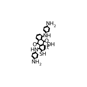 CCO.Nc1ccc(Nc2cccc3c2C(=O)c2ccc(S)c(Nc4ccc(N)cc4)c2C3=O)cc1